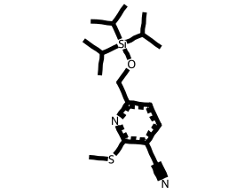 CSc1nc(CO[Si](C(C)C)(C(C)C)C(C)C)ccc1C#N